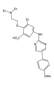 CCc1cc(Nc2ncc(-c3ccc(OC)cc3)cn2)cc(C(=O)O)c1OCCN(CC)CC